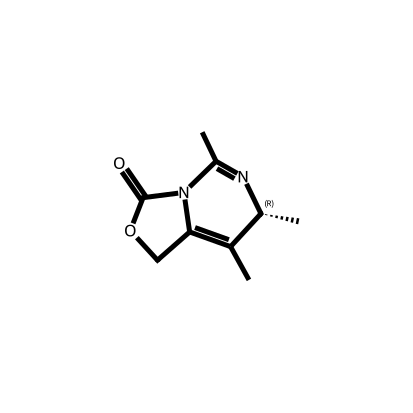 CC1=N[C@H](C)C(C)=C2COC(=O)N12